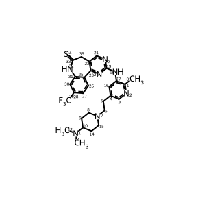 Cc1ncc(CCN2CCC(N(C)C)CC2)cc1Nc1ncc2c(n1)-c1ccc(C(F)(F)F)cc1NC(=S)C2